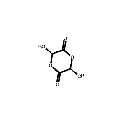 O=C1O[C@@H](O)C(=O)O[C@H]1O